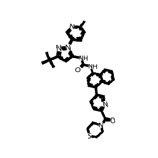 Cc1ccc(-n2nc(C(C)(C)C)cc2NC(=O)Nc2ccc(-c3ccc(C(=O)N4CCSCC4)nc3)c3ccccc23)cn1